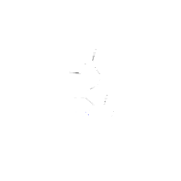 C=CC1(C)C(=C)/C1=C/c1cc(C)c(N)c(C(C)C)c1